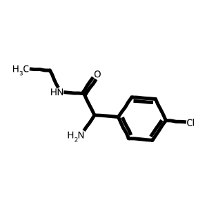 CCNC(=O)C(N)c1ccc(Cl)cc1